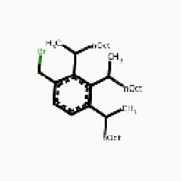 CCCCCCCCC(C)c1ccc(CBr)c(C(C)CCCCCCCC)c1C(C)CCCCCCCC